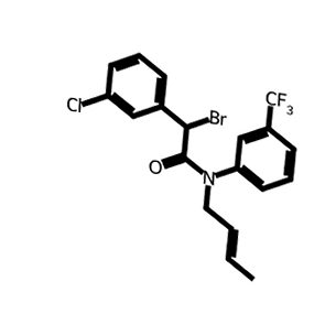 C/C=C/CN(C(=O)C(Br)c1cccc(Cl)c1)c1cccc(C(F)(F)F)c1